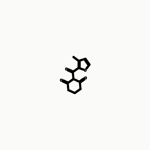 Cc1ccoc1C(=O)C1C(=O)CCCC1=O